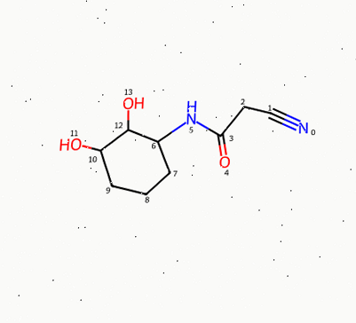 N#CCC(=O)NC1CCCC(O)C1O